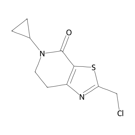 O=C1c2sc(CCl)nc2CCN1C1CC1